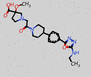 CCNc1nnc(-c2ccc(C3CCN(C(=O)CN4CCC(OC)(C(=O)O)C4)CC3)cc2)o1